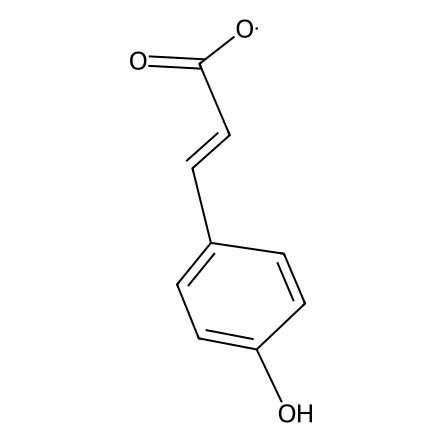 [O]C(=O)C=Cc1ccc(O)cc1